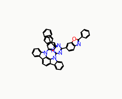 c1ccc(-c2cccc(-n3c4ccccc4c4ccc5c6ccccc6n(-c6nc(-c7ccccc7)nc(-c7ccc8nc(-c9ccccc9)oc8c7)n6)c5c43)c2)cc1